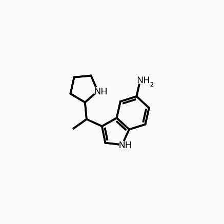 CC(c1c[nH]c2ccc(N)cc12)C1CCCN1